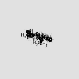 CCCCC(NC(=O)[C@@H]1C2C(CN1C(=O)[C@@H](NC(=O)OC1CCCCC1)C(C)(C)C)C2(C)C)C(=O)C(=O)NCC(=O)N[C@H](C(=O)N(C)C)c1ccccc1